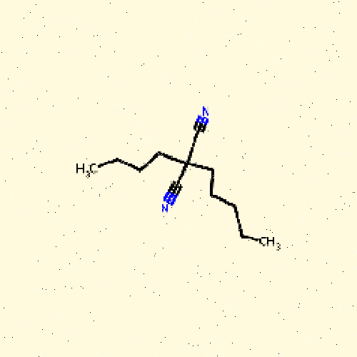 CCCCCC(C#N)(C#N)CCCC